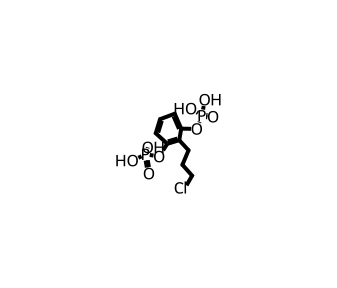 O=P(O)(O)Oc1cccc(OP(=O)(O)O)c1CCCCl